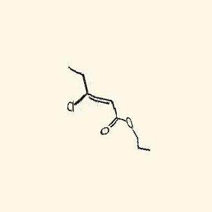 CCOC(=O)C=C(Cl)CC